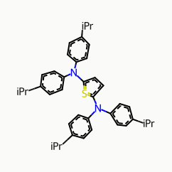 CC(C)c1ccc(N(c2ccc(C(C)C)cc2)c2ccc(N(c3ccc(C(C)C)cc3)c3ccc(C(C)C)cc3)s2)cc1